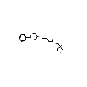 CC(CO)(CO)COC(=O)CCCOC1COC(c2ccccc2)OC1